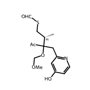 COCOC(Cc1cc(O)ccn1)(C(C)=O)[C@@H](C)CSC=O